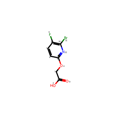 O=C(O)COc1ccc(F)c(Br)n1